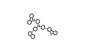 c1cc(N(c2ccc(-c3ccc4c(c3)sc3ccccc34)cc2)c2ccc(-c3cccc4ccccc34)cc2)cc(-n2c3ccccc3c3ccccc32)c1